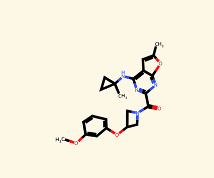 COc1cccc(OC2CN(C(=O)c3nc(NC4(C)CC4)c4cc(C)oc4n3)C2)c1